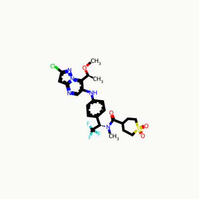 CO[C@@H](C)c1c(Nc2ccc([C@H](N(C)C(=O)C3CCS(=O)(=O)CC3)C(F)(F)F)cc2)cnc2cc(Cl)nn12